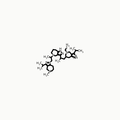 CCN1Cc2c(C(C)C)n[nH]c2CC(CC(C)c2n[nH]c3c2CN(C(C)Cn2nc(C(C)C)c4c2CCCN(C)C4)CCC3)C1